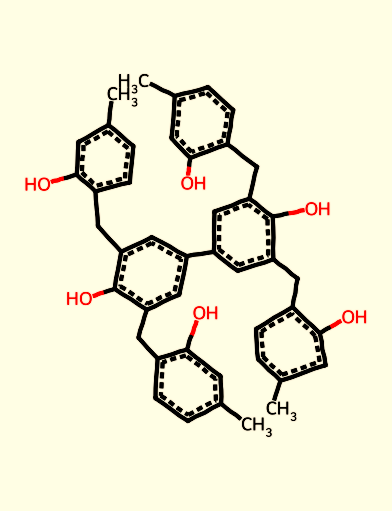 Cc1ccc(Cc2cc(-c3cc(Cc4ccc(C)cc4O)c(O)c(Cc4ccc(C)cc4O)c3)cc(Cc3ccc(C)cc3O)c2O)c(O)c1